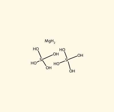 O[Si](O)(O)O.O[Si](O)(O)O.[MgH2]